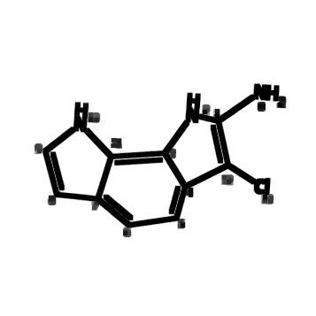 Nc1[nH]c2c(ccc3cc[nH]c32)c1Cl